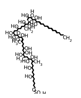 C=CCC/C=C/C=C/C=C/CC/C=C/[C@@H](O)[C@H](O)C1O[C@@H]([C@H](O)[C@H](O)C(=C)CC[C@@H](O)C2C[C@@H](O)[C@@H](O)[C@H]([C@@H](O)[C@H](O)/C=C(\C)CC[C@H](O)C[C@H](O)[C@H](O)[C@@H](C)C[C@H](O)C(O)C(C)CCC(O)CCCC(O)CCCCCOS(=O)(=O)O)O2)C[C@@H](O)[C@H]1O